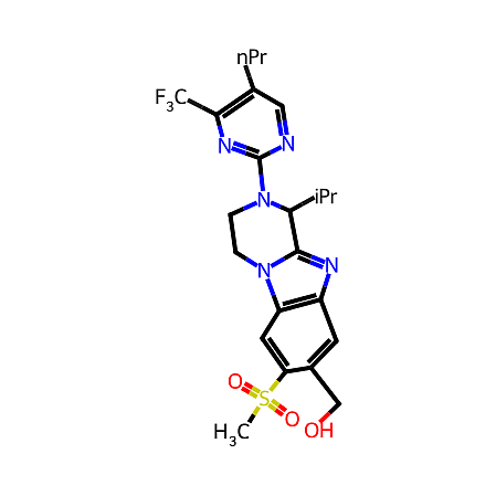 CCCc1cnc(N2CCn3c(nc4cc(CO)c(S(C)(=O)=O)cc43)C2C(C)C)nc1C(F)(F)F